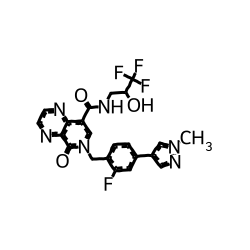 Cn1cc(-c2ccc(Cn3cc(C(=O)NCC(O)C(F)(F)F)c4nccnc4c3=O)c(F)c2)cn1